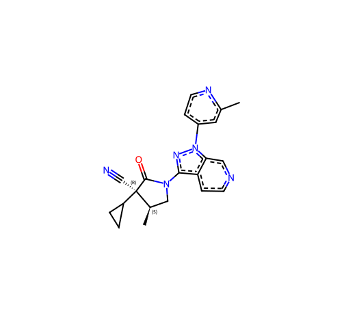 Cc1cc(-n2nc(N3C[C@@H](C)[C@@](C#N)(C4CC4)C3=O)c3ccncc32)ccn1